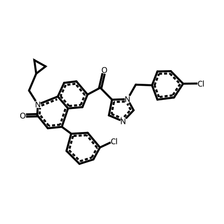 O=C(c1ccc2c(c1)c(-c1cccc(Cl)c1)cc(=O)n2CC1CC1)c1cncn1Cc1ccc(Cl)cc1